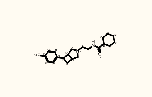 O=C(NCCN1CC2CC(c3ccc(F)cc3)C2C1)C1CCCCC1